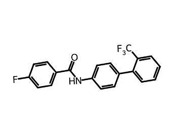 O=C(Nc1ccc(-c2ccccc2C(F)(F)F)cc1)c1ccc(F)cc1